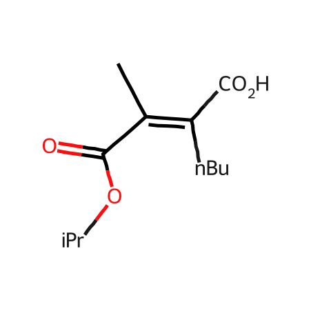 CCCCC(C(=O)O)=C(C)C(=O)OC(C)C